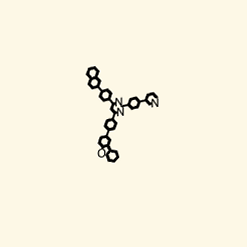 c1cncc(-c2ccc(-c3nc(-c4ccc(-c5ccc6ccccc6c5)cc4)cc(-c4ccc(-c5ccc6oc7ccccc7c6c5)cc4)n3)cc2)c1